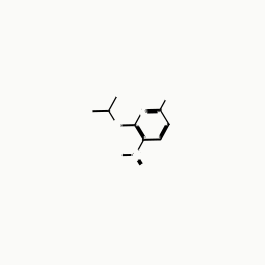 CC(C)Oc1nc(Cl)ccc1[N+](=O)[O-]